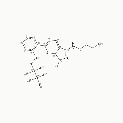 CN1N=C(NCCCO)C2=CC=C(c3ccccc3OCC(F)(F)C(F)(F)F)CC21